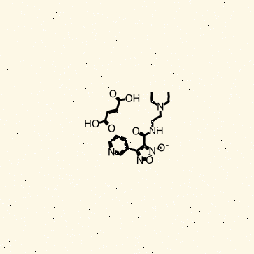 CCN(CC)CCNC(=O)c1c(-c2cccnc2)no[n+]1[O-].O=C(O)/C=C/C(=O)O